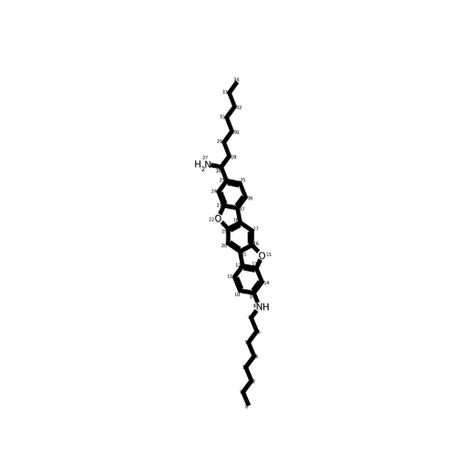 CCCCCCCCNc1ccc2c(c1)oc1cc3c(cc12)oc1cc(C(N)CCCCCCC)ccc13